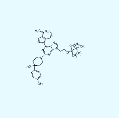 C=Cc1cnn(-c2nc(N3CCC(O)(c4ccc(O)cc4)CC3)nc3c2ncn3CCO[Si](C)(C)C(C)(C)C)c1/C=C\C